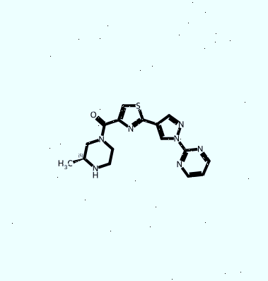 C[C@H]1CN(C(=O)c2csc(-c3cnn(-c4ncccn4)c3)n2)CCN1